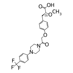 CO[C@@H](Cc1ccc(OCC(=O)N2CCN(c3ccc(C(F)(F)F)cc3)CC2)cc1)C(=O)O